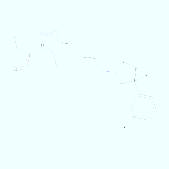 Cc1ncoc1-c1nnc(SCCCN2CC3CC3(c3cc(C(F)(F)F)ccc3F)C2)n1C